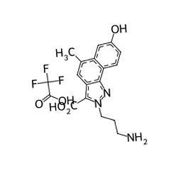 Cc1cc2c(C(=O)O)n(CCCN)nc2c2ccc(O)cc12.O=C(O)C(F)(F)F